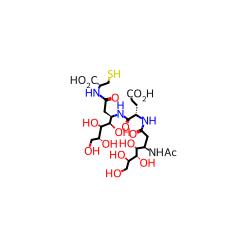 CC(=O)N[C@H](CC(=O)N[C@@H](CCC(=O)O)C(=O)N[C@H](CC(=O)N[C@@H](CS)C(=O)O)[C@@H](O)[C@H](O)[C@H](O)CO)[C@@H](O)[C@H](O)[C@H](O)CO